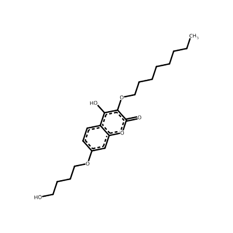 CCCCCCCCOc1c(O)c2ccc(OCCCCO)cc2oc1=O